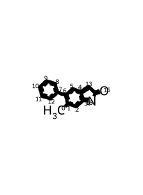 Cc1cc2c(cc1-c1ccccc1)=CC(=O)N=2